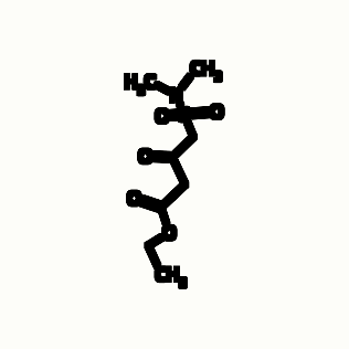 CCOC(=O)CC(=O)CS(=O)(=O)N(C)C